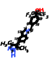 Cc1n[nH]c(C)c1-c1ccc2c(c1)CCN2Cc1ccc(C(O)(C(F)(F)F)C(F)(F)F)cc1